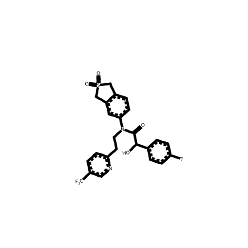 O=C(C(O)c1ccc(F)cc1)N(CCc1ccc(C(F)(F)F)cn1)c1ccc2c(c1)CS(=O)(=O)C2